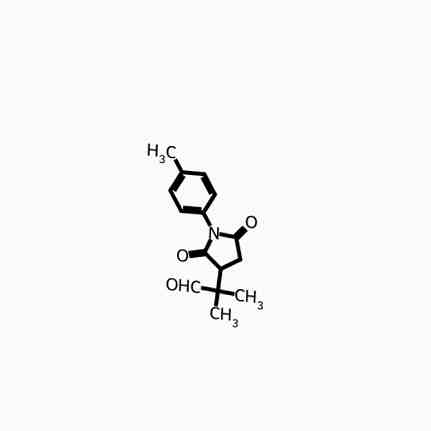 Cc1ccc(N2C(=O)CC(C(C)(C)C=O)C2=O)cc1